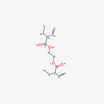 C=CC(CC)C(=O)OCCOC(=O)C(C=C)CC